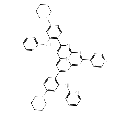 C1=C(c2ccc(N3CCCCC3)cc2Nc2ccccn2)N=C2N=C(c3ccncc3)N=C3N=C(c4ccc(N5CCCCC5)cc4Nc4ccccn4)C=C1N23